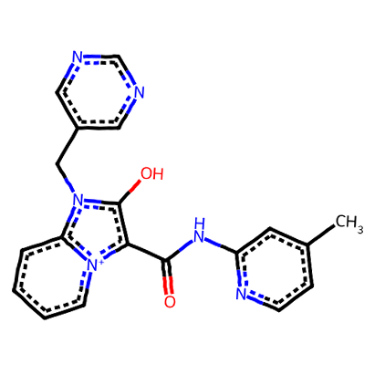 Cc1ccnc(NC(=O)c2c(O)n(Cc3cncnc3)c3cccc[n+]23)c1